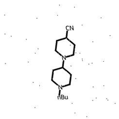 CCCCN1CCC(N2CCC(C#N)CC2)CC1